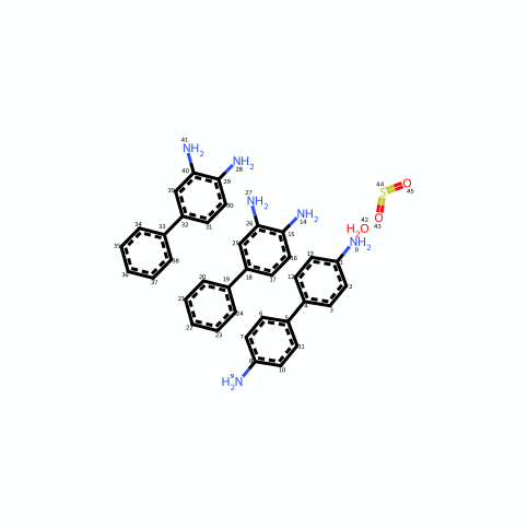 Nc1ccc(-c2ccc(N)cc2)cc1.Nc1ccc(-c2ccccc2)cc1N.Nc1ccc(-c2ccccc2)cc1N.O.O=S=O